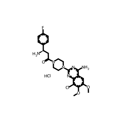 COc1cc2c(N)nc(N3CCN(C(=O)C[C@@H](N)c4ccc(F)cc4)CC3)nc2c(Cl)c1OC.Cl